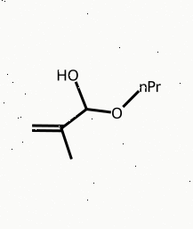 C=C(C)C(O)OCCC